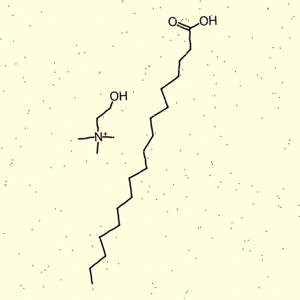 CCCCCCCCCCCCCCCCCC(=O)O.C[N+](C)(C)CCO